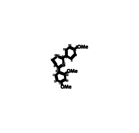 COc1ccc(-c2nccc(-c3ccc(OC)cc3OC)n2)cc1